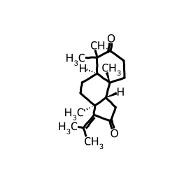 CC(C)=C1C(=O)C[C@H]2[C@@]3(C)CCC(=O)C(C)(C)[C@@H]3CC[C@]12C